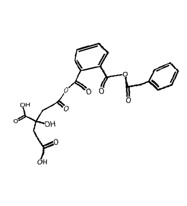 O=C(O)CC(O)(CC(=O)OC(=O)c1ccccc1C(=O)OC(=O)c1ccccc1)C(=O)O